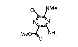 CNc1nc(N)c(C(=O)OC)nc1Cl